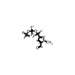 Cn1nc(C(F)(F)OC(F)(F)OC(F)(F)F)cc1[C]=O